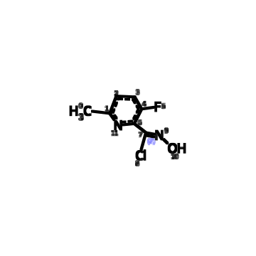 Cc1ccc(F)c(/C(Cl)=N/O)n1